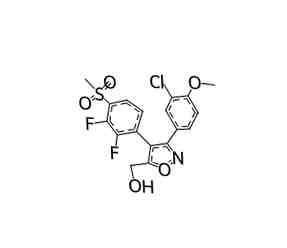 COc1ccc(-c2noc(CO)c2-c2ccc(S(C)(=O)=O)c(F)c2F)cc1Cl